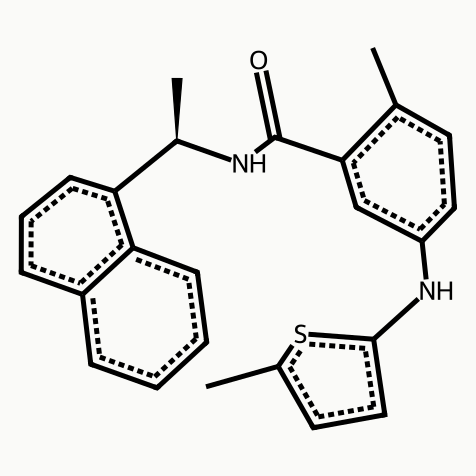 Cc1ccc(Nc2ccc(C)c(C(=O)N[C@H](C)c3cccc4ccccc34)c2)s1